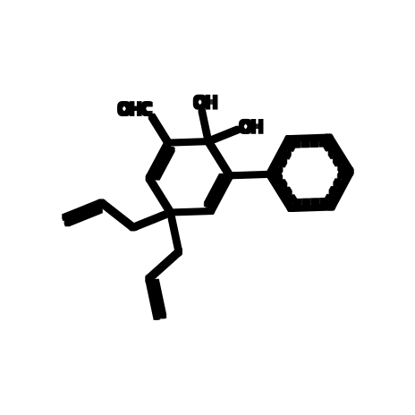 C=CCC1(CC=C)C=C(C=O)C(O)(O)C(c2ccccc2)=C1